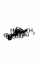 C=CCNC(=O)C(=O)C(CCCC)NC(=O)[C@@H]1[C@@H](CC)CCN1C(=O)[C@@H](NC(=O)N[C@H](CN1CCCS1(=O)=O)C(C)(C)C)C(C)(C)C